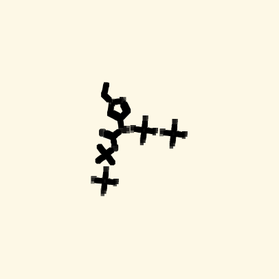 CCn1cc(NC(=O)OC(C)(C)C)cn1.F[B-](F)(F)F.F[B-](F)(F)F.F[B-](F)(F)F